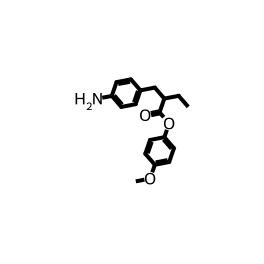 CCC(Cc1ccc(N)cc1)C(=O)Oc1ccc(OC)cc1